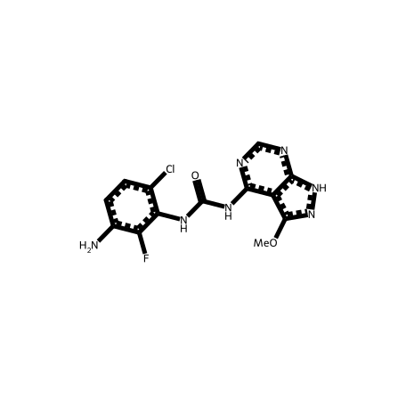 COc1n[nH]c2ncnc(NC(=O)Nc3c(Cl)ccc(N)c3F)c12